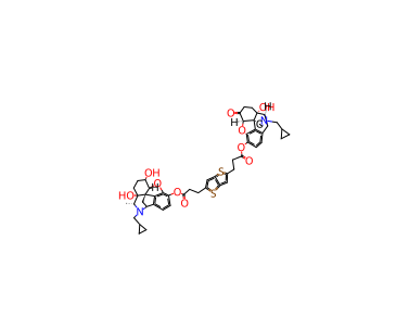 C[C@H]1N(CC2CC2)C2C[C@]34c5c2ccc(OC(=O)CCc2cc6sc(CCC(=O)Oc7ccc8c9c7O[C@H]7C(=O)CC[C@@]%10(O)[C@@H](C8)N(CC8CC8)CC[C@]97%10)cc6s2)c5O[C@H]3C(O)CC[C@@]14O